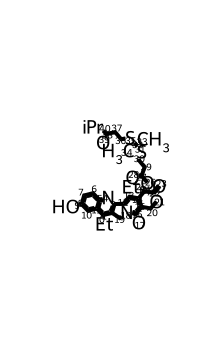 CCc1c2c(nc3ccc(O)cc13)-c1cc3c(c(=O)n1C2)COC(=O)[C@@]3(CC)OC(=O)CCSC(C)(C)SCCC(=O)C(C)C